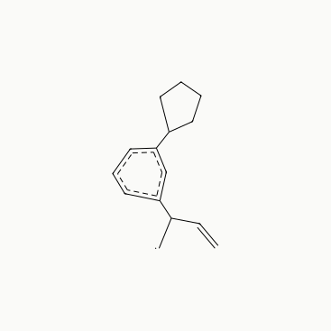 [CH2]C(C=C)c1cccc(C2CCCC2)c1